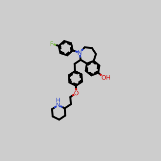 Oc1ccc2c(c1)CCCN(c1ccc(F)cc1)C2Cc1ccc(OCCC2CCCCN2)cc1